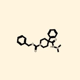 CN(C)NC(=O)C1(c2ccccc2)CCN(C(=O)OCc2ccccc2)CC1